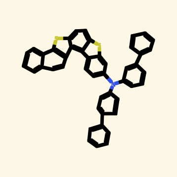 c1ccc(-c2ccc(N(c3cccc(-c4ccccc4)c3)c3ccc4c(c3)sc3ccc5sc6c7ccccc7ccc6c5c34)cc2)cc1